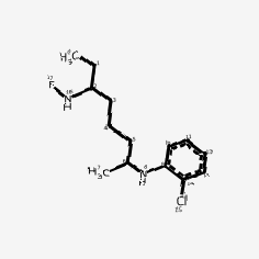 CCC(CCCC(C)Nc1ccccc1Cl)NF